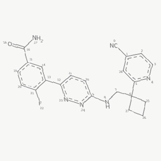 N#Cc1ccnc(C2(CNc3ccc(-c4cc(C(N)=O)ccc4F)nn3)CCC2)c1